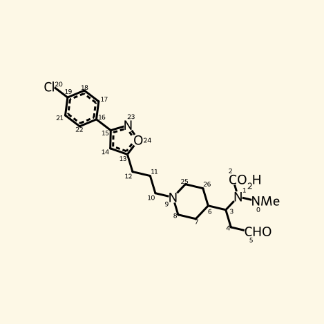 CNN(C(=O)O)C(CC=O)C1CCN(CCCc2cc(-c3ccc(Cl)cc3)no2)CC1